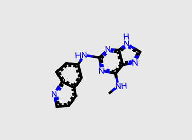 CNc1nc(Nc2ccc3ncccc3c2)nc2[nH]cnc12